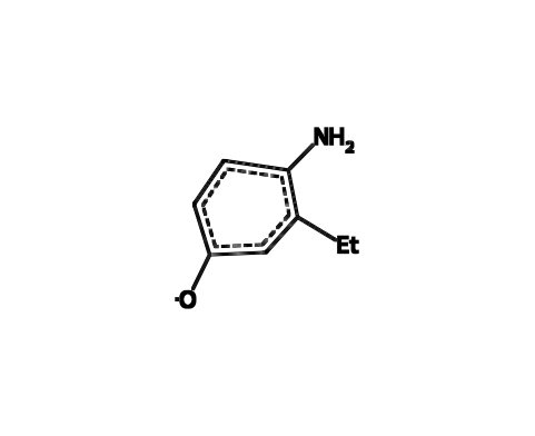 CCc1cc([O])ccc1N